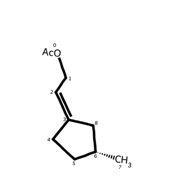 CC(=O)OCC=C1CC[C@@H](C)C1